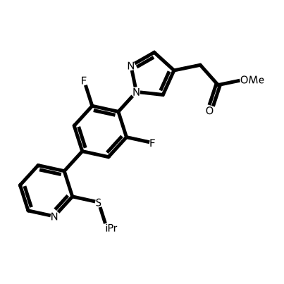 COC(=O)Cc1cnn(-c2c(F)cc(-c3cccnc3SC(C)C)cc2F)c1